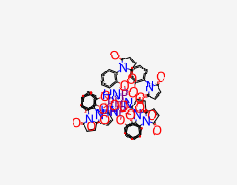 O=C1C=CC(=O)N1c1ccccc1OP1(Oc2ccccc2N2C(=O)C=CC2=O)=N[PH](Oc2ccccc2N2C(=O)C=CC2=O)(Oc2ccccc2N2C(=O)C=CC2=O)N[PH](Oc2ccccc2N2C(=O)C=CC2=O)(Oc2ccccc2N2C(=O)C=CC2=O)N1